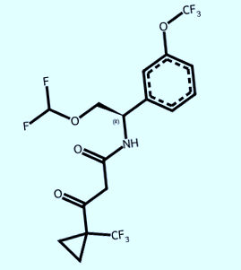 O=C(CC(=O)C1(C(F)(F)F)CC1)N[C@@H](COC(F)F)c1cccc(OC(F)(F)F)c1